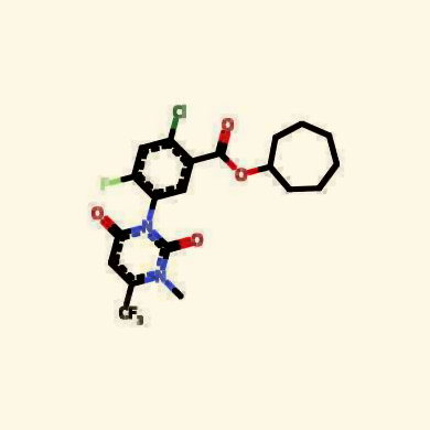 Cn1c(C(F)(F)F)cc(=O)n(-c2cc(C(=O)OC3CCCCCC3)c(Cl)cc2F)c1=O